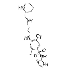 O=S(=O)(NC1NC=CS1)c1cc(Cl)c(NCCCCNC[C@H]2CCCCN2)cc1F